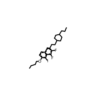 CCCCOc1ccc2cc(CCC3CCC(CCC)CC3)c(F)c(F)c2c1I